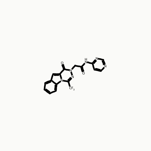 O=C(Cn1nc(C(F)(F)F)n2c(cc3ccccc32)c1=O)Nc1ccncn1